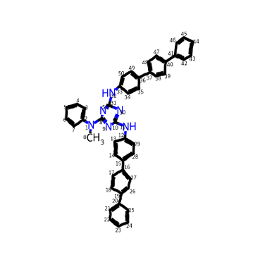 CN(c1ccccc1)c1nc(Nc2ccc(-c3ccc(-c4ccccc4)cc3)cc2)nc(Nc2ccc(-c3ccc(-c4ccccc4)cc3)cc2)n1